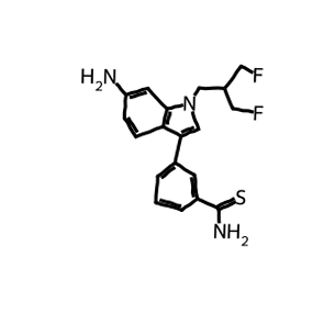 NC(=S)c1cccc(-c2cn(CC(CF)CF)c3cc(N)ccc23)c1